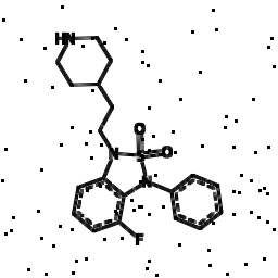 O=S1(=O)N(CCC2CCNCC2)c2cccc(F)c2N1c1ccccc1